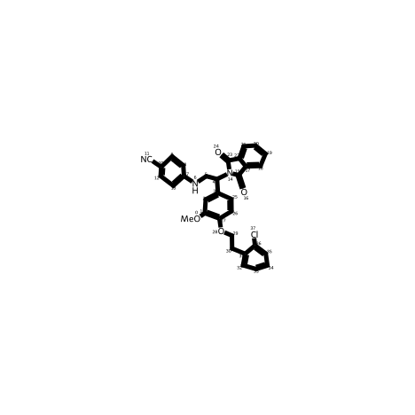 COc1cc(C(CNc2ccc(C#N)cc2)N2C(=O)c3ccccc3C2=O)ccc1OCCc1ccccc1Cl